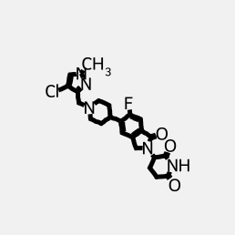 Cn1cc(Cl)c(CN2CCC(c3cc4c(cc3F)C(=O)N(C3CCC(=O)NC3=O)C4)CC2)n1